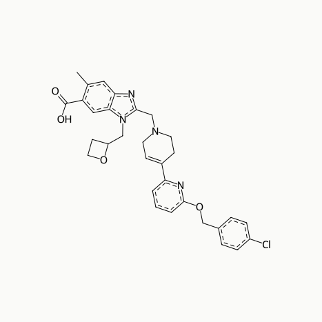 Cc1cc2nc(CN3CC=C(c4cccc(OCc5ccc(Cl)cc5)n4)CC3)n(CC3CCO3)c2cc1C(=O)O